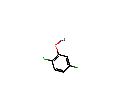 CCOc1cc(F)ccc1F